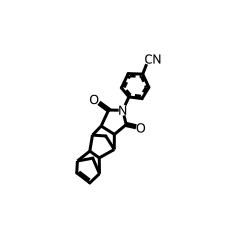 N#Cc1ccc(N2C(=O)C3C4CC(C3C2=O)C2C3C=CC(C3)C42)cc1